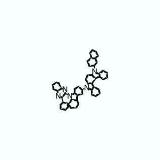 c1ccc(-c2nc3ccccc3nc2-n2c3ccccc3c3cc(-n4c5ccccc5c5c6c7ccccc7n(-c7ccc8ccccc8c7)c6ccc54)ccc32)cc1